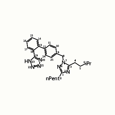 CCCCCc1nc(CCC(C)C)n(Cc2ccc(-c3ccccc3-c3nnn[nH]3)cc2)n1